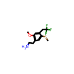 COc1cc(CC(F)(F)F)c(SC)cc1CCN